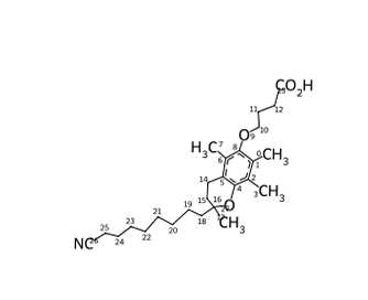 Cc1c(C)c2c(c(C)c1OCCCC(=O)O)CCC(C)(CCCCCCCCC#N)O2